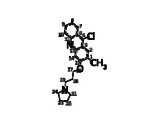 Cc1cc2c(Cl)c3ccccc3nc2cc1OCCCN1CCCC1